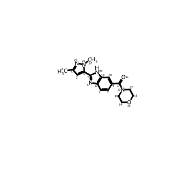 Cc1cc(-c2nc3ccc(C(=O)N4CCOCC4)cc3[nH]2)n(C)n1